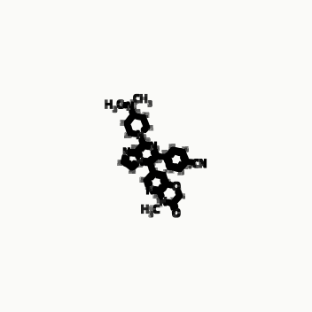 CN1C(=O)COc2cc(-c3c(-c4ccc(C#N)cc4)nc(N4CCC(N(C)C)CC4)c4nccn34)cnc21